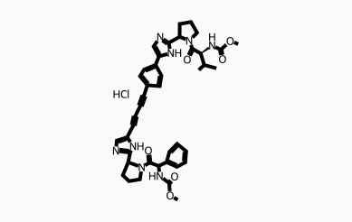 COC(=O)NC(C(=O)N1CCCC1c1ncc(C#CC#Cc2ccc(-c3cnc(C4CCCN4C(=O)[C@@H](NC(=O)OC)C(C)C)[nH]3)cc2)[nH]1)c1ccccc1.Cl